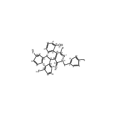 Cc1ccc(Cn2nc(C)c(-c3ccccc3O)c(C(Cc3cccc(F)c3)c3cccc(F)c3)c2=O)cc1